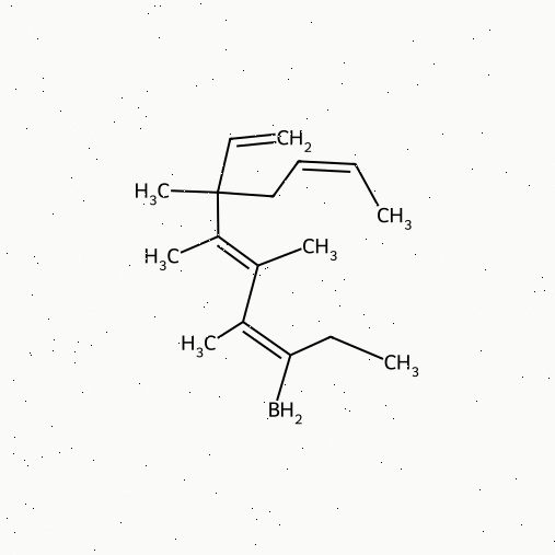 B/C(CC)=C(C)/C(C)=C(\C)C(C)(C=C)C/C=C\C